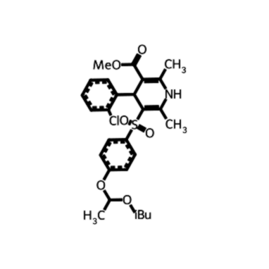 CCC(C)OC(C)Oc1ccc(S(=O)(=O)C2=C(C)NC(C)=C(C(=O)OC)C2c2ccccc2Cl)cc1